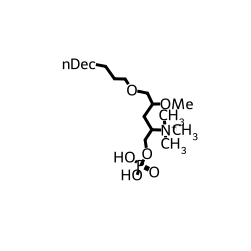 CCCCCCCCCCCCCOCC(CC(COP(=O)(O)O)[N+](C)(C)C)OC